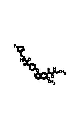 CCNC(=O)Nc1cc2c(Oc3ccc(NC(=O)NCCc4cccc(F)c4)cc3)ncnc2cc1OC